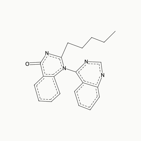 CCCCCc1nc(=O)c2ccccc2n1-c1ncnc2ccccc12